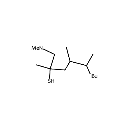 CCC(C)C(C)C(C)CC(C)(S)CNC